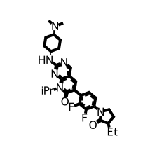 CCC1CCN(c2ccc(-c3cc4cnc(N[C@H]5CC[C@H](N(C)C)CC5)nc4n(C(C)C)c3=O)c(F)c2F)C1=O